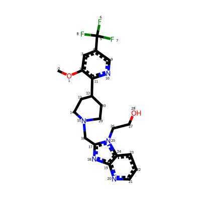 COc1cc(C(F)(F)F)cnc1C1CCN(Cc2nc3ncccc3n2CCO)CC1